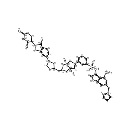 COc1cc(Cn2cccn2)cc2onc(NS(=O)(=O)c3cccc(N4C[C@@H]5CN(CC6CCN(c7ccc8c(c7)CN(C7CCC(=O)NC7=O)C8=O)C6)C[C@H]5C4)c3)c12